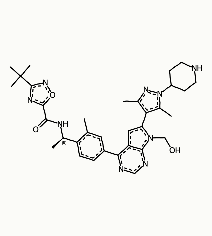 Cc1cc(-c2ncnc3c2cc(-c2c(C)nn(C4CCNCC4)c2C)n3CO)ccc1[C@@H](C)NC(=O)c1nc(C(C)(C)C)no1